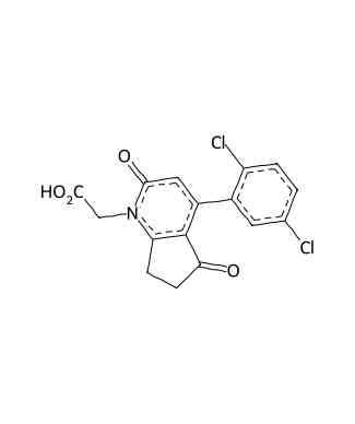 O=C(O)Cn1c2c(c(-c3cc(Cl)ccc3Cl)cc1=O)C(=O)CC2